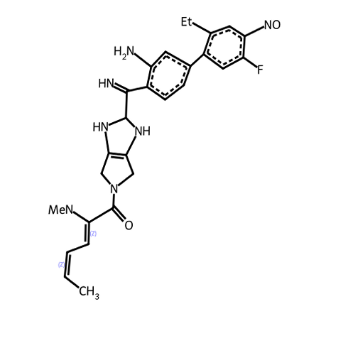 C/C=C\C=C(/NC)C(=O)N1CC2=C(C1)NC(C(=N)c1ccc(-c3cc(F)c(N=O)cc3CC)cc1N)N2